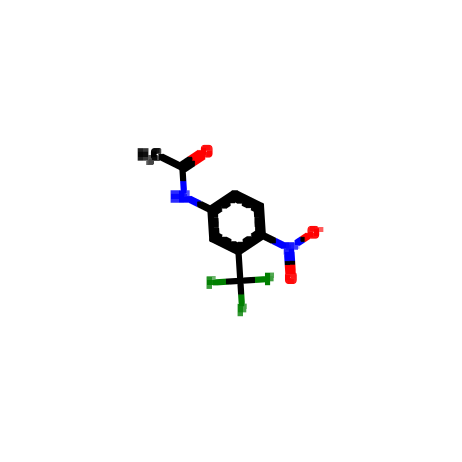 CC(=O)Nc1ccc([N+](=O)[O-])c(C(F)(F)F)c1